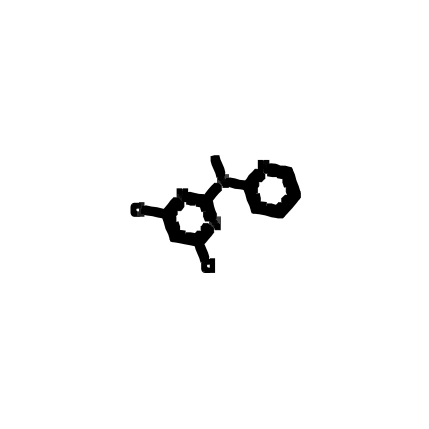 CN(c1ccccn1)c1nc(Cl)cc(Cl)n1